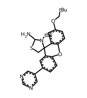 CC(C)(C)COc1ccc2c(c1)C1(CSC(N)N1C(C)(C)C)c1cc(-c3cncnc3)ccc1O2